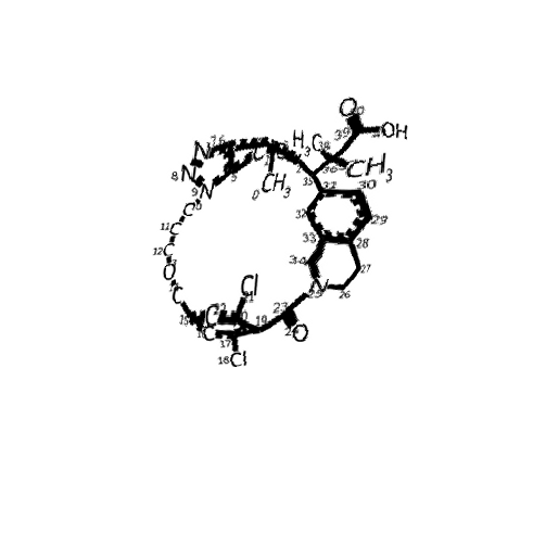 Cc1c2ccc3c1nnn3CCCOCc1cc(Cl)c(c(Cl)c1)C(=O)N1CCc3ccc(cc3C1)C2C(C)(C)C(=O)O